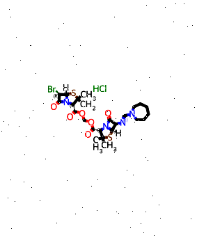 CC1(C)S[C@@H]2C(/N=C/N3CCCCCC3)C(=O)N2[C@H]1C(=O)OCOC(=O)[C@@H]1N2C(=O)[C@@H](Br)[C@H]2SC1(C)C.Cl